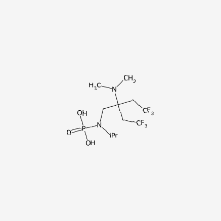 CC(C)N(CC(CC(F)(F)F)(CC(F)(F)F)N(C)C)P(=O)(O)O